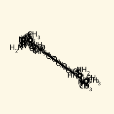 Cc1nn(-c2ccc(C(N)=O)c(NCCCOCCOCCOCCOCCOCCCNC(=O)CC[C@H](NC(=O)c3ccc(N(C)Cc4cnc5nc(N)nc(N)c5n4)cc3)C(=O)O)c2)c2c1C(=O)CC(C)(C)C2